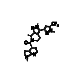 CC1c2nn(C)c(-c3cc(C(F)(F)F)n(C)n3)c2CCN1C(=O)c1ccnc2c1ccn2C